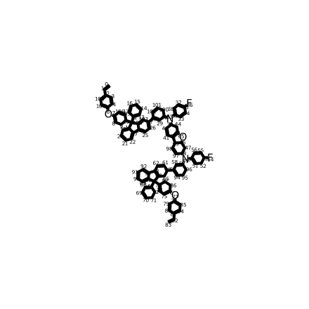 C=Cc1ccc(OC2=CCC(C3(c4ccccc4)c4ccccc4-c4ccc(C5=CC(N(c6ccc(F)cc6)C6C=CC7=C(C6)OC6CC(N(C8=CCC(F)C=C8)C8=CC(C9C=CC%10=C(C9)C(C9=CC=CCC9)(C9=CC=C(Oc%11ccc(C=C)cc%11)CC9)c9ccccc9%10)=CCC8)C=CC76)CC=C5)cc43)C=C2)cc1